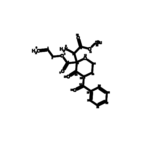 C=CCOC(=O)C1(C(N)C(=O)OC(C)(C)C)OCCN(C(=O)c2ccccc2)C1=O